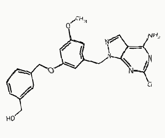 COc1cc(Cn2ncc3c(N)nc(Cl)nc32)cc(OCc2cccc(CO)c2)c1